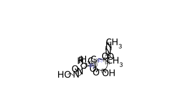 C/C(=C\c1cc(F)cc(N2CCN(CCO)C2=O)c1)[C@H]1C(=O)C(=O)C[C@H](O)CC[C@H](C)[C@@H](OC(=O)N2CCN(C)CC2)/C=C/[C@@H]1C